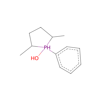 CC1CCC(C)[PH]1(O)c1ccccc1